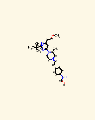 COCCc1cc(N2CCN(CC[C@H]3CC[C@H](NC=O)CC3)C[C@@H]2C)nc(C(C)(C)C)n1